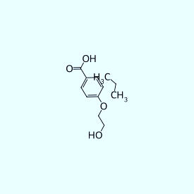 CCC.O=C(O)c1ccc(OCCO)cc1